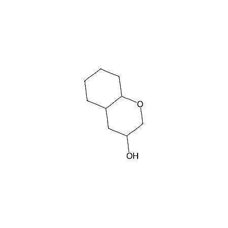 OC1COC2CCCCC2C1